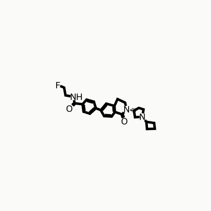 O=C(NCCF)c1ccc(-c2ccc3c(c2)CCN([C@@H]2CCN(C4CCC4)C2)C3=O)cc1